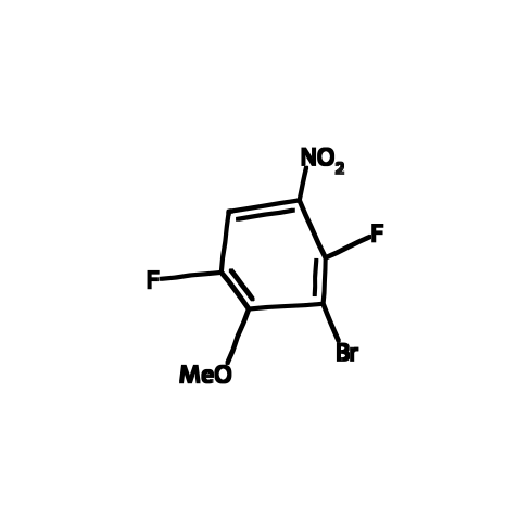 COc1c(F)cc([N+](=O)[O-])c(F)c1Br